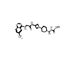 CCC(NC(=O)OC)[C@H]1CC[C@@H](N2CC(NC(=O)CNc3ncnc4ccc(C(F)(F)F)cc34)C2)CC1